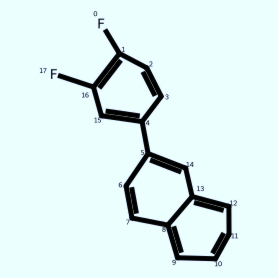 Fc1ccc(-c2ccc3ccccc3c2)cc1F